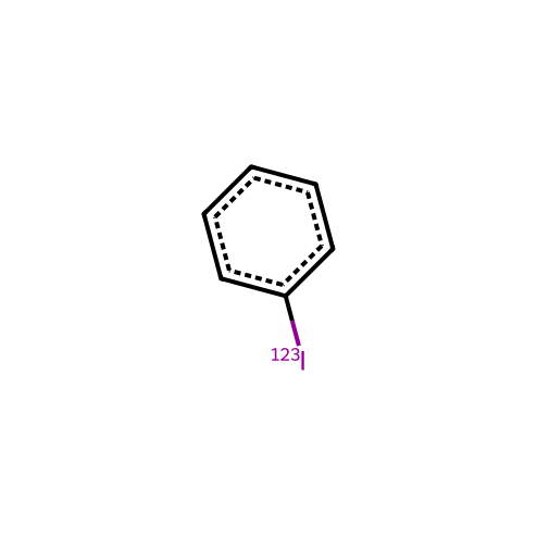 [123I]c1ccccc1